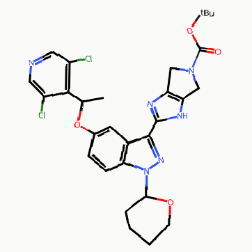 CC(Oc1ccc2c(c1)c(-c1nc3c([nH]1)CN(C(=O)OC(C)(C)C)C3)nn2C1CCCCO1)c1c(Cl)cncc1Cl